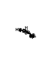 O=C(Nc1ccc(C2CCNC2)cc1)OCCc1cccc(C(F)(F)F)c1